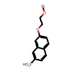 CCOCCOc1ccc2ccc(S(=O)(=O)O)cc2c1